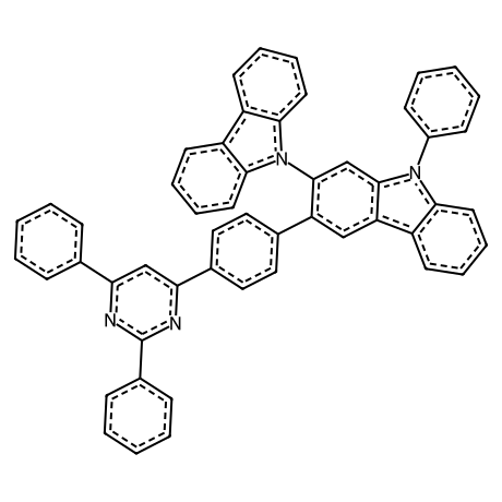 c1ccc(-c2cc(-c3ccc(-c4cc5c6ccccc6n(-c6ccccc6)c5cc4-n4c5ccccc5c5ccccc54)cc3)nc(-c3ccccc3)n2)cc1